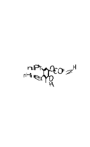 CCCCCCc1c(CCC)cc(OC(=O)O)c(O)c1C